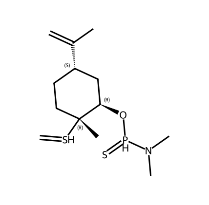 C=[SH][C@]1(C)CC[C@H](C(=C)C)C[C@H]1O[PH](=S)N(C)C